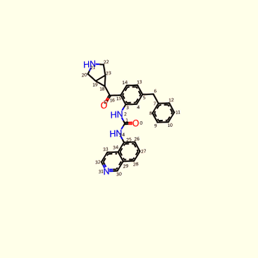 O=C(Nc1cc(Cc2ccccc2)ccc1C(=O)C1C2CNCC21)Nc1cccc2cnccc12